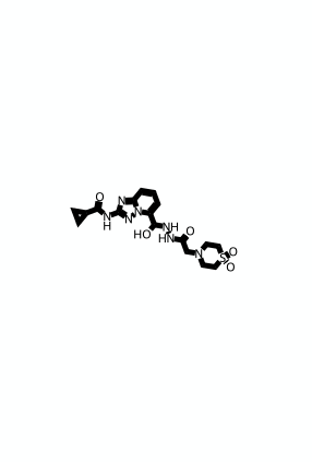 O=C(CN1CCS(=O)(=O)CC1)NNC(O)c1cccc2nc(NC(=O)C3CC3)nn12